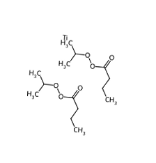 CCCC(=O)OOC(C)C.CCCC(=O)OOC(C)C.[Ti]